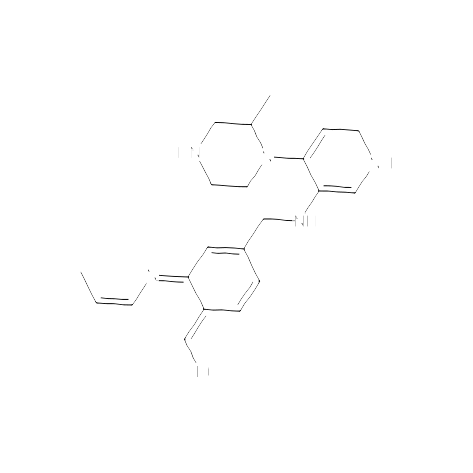 C\C=C/N=C1/C=C(CNC2=CNCC=C2N2CCNCC2C)C=C/C1=C\CC